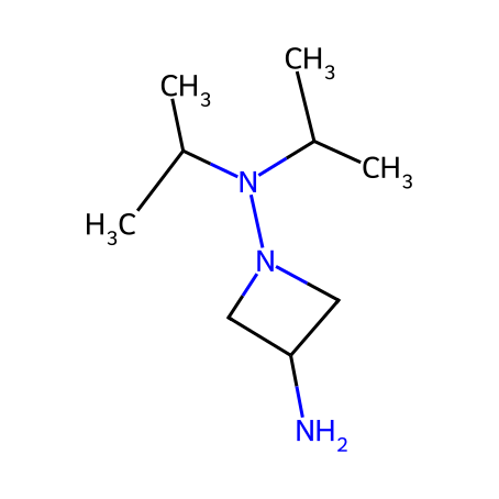 CC(C)N(C(C)C)N1CC(N)C1